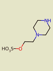 O=S(=O)(O)OCCN1CCNCC1